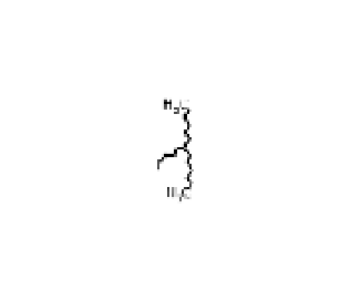 CCCCCCC(CCCF)CCCCCC